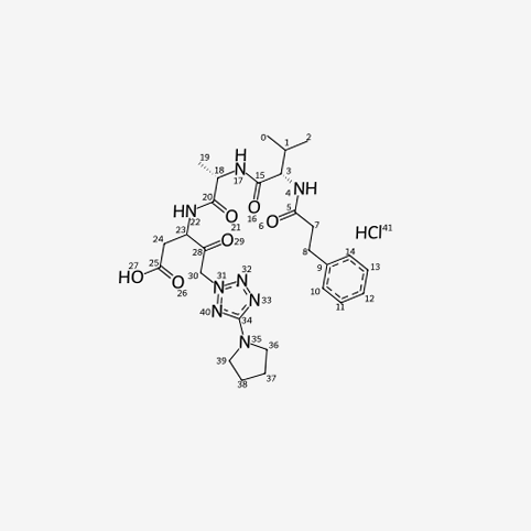 CC(C)[C@H](NC(=O)CCc1ccccc1)C(=O)N[C@@H](C)C(=O)NC(CC(=O)O)C(=O)Cn1nnc(N2CCCC2)n1.Cl